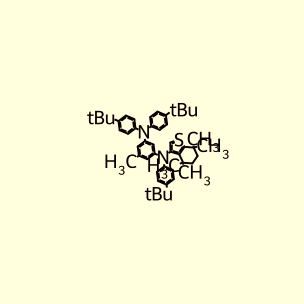 Cc1cc(N(c2ccc(C(C)(C)C)cc2)c2ccc(C(C)(C)C)cc2)cc(N(c2ccc(C(C)(C)C)cc2)c2csc3c2C(C)(C)CCC3(C)C)c1